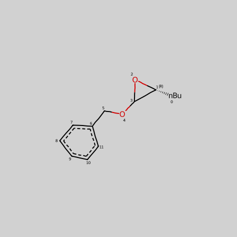 CCCC[C@H]1OC1OCc1ccccc1